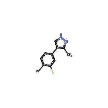 CC(C)c1ccc(-c2c[nH]nc2C(F)(F)F)cc1F